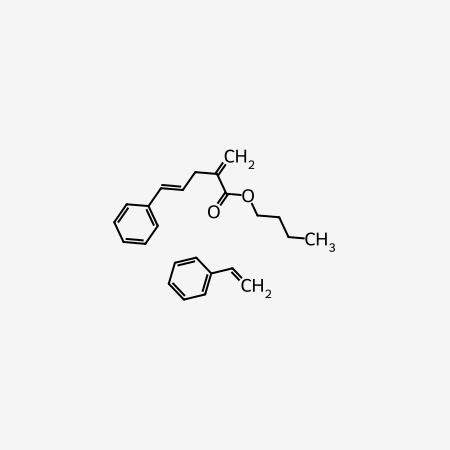 C=C(CC=Cc1ccccc1)C(=O)OCCCC.C=Cc1ccccc1